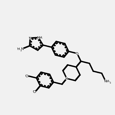 NCCCC(Oc1ccc(-c2cc(N)n[nH]2)cc1)C1CCN(Cc2ccc(Cl)c(Cl)c2)CC1